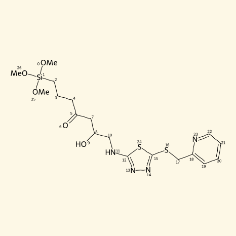 CO[Si](CCCC(=O)CC(O)CNc1nnc(SCc2ccccn2)s1)(OC)OC